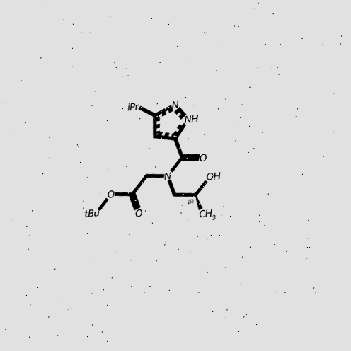 CC(C)c1cc(C(=O)N(CC(=O)OC(C)(C)C)C[C@H](C)O)[nH]n1